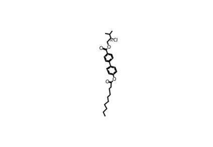 CCCCCCCCCC(=O)Oc1ccc(-c2ccc(C(=O)OC[C@H](Cl)C(C)C)cc2)cc1